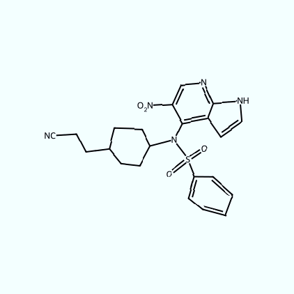 N#CCCC1CCC(N(c2c([N+](=O)[O-])cnc3[nH]ccc23)S(=O)(=O)c2ccccc2)CC1